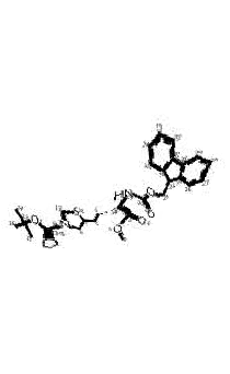 COC(=O)[C@H](CCC1CN(C(=O)OC(C)(C)C)CS1)NC(=O)OCC1c2ccccc2-c2ccccc21